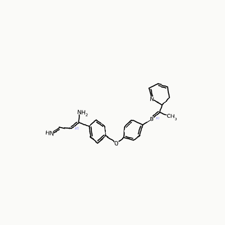 C/C(=B\c1ccc(Oc2ccc(/C(N)=C/C=N)cc2)cc1)C1CC=CC=N1